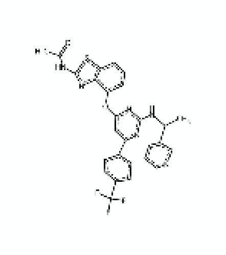 CC(=O)Nc1nc2c(Oc3cc(-c4ccc(C(F)(F)F)cc4)nc(NC(C)c4cccnc4)n3)cccc2s1